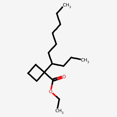 CCCCCCC(CCC)C1(C(=O)OCC)CCC1